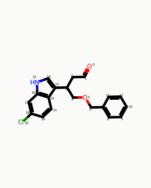 O=CCC(COCc1ccccc1)c1c[nH]c2cc(Cl)ccc12